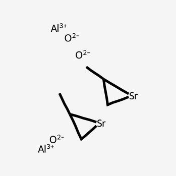 C[CH]1[CH2][Sr]1.C[CH]1[CH2][Sr]1.[Al+3].[Al+3].[O-2].[O-2].[O-2]